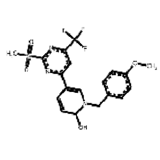 COc1ccc(CN2C=C(c3cc(C(F)(F)F)nc(S(C)(=O)=O)n3)C=CC2O)cc1